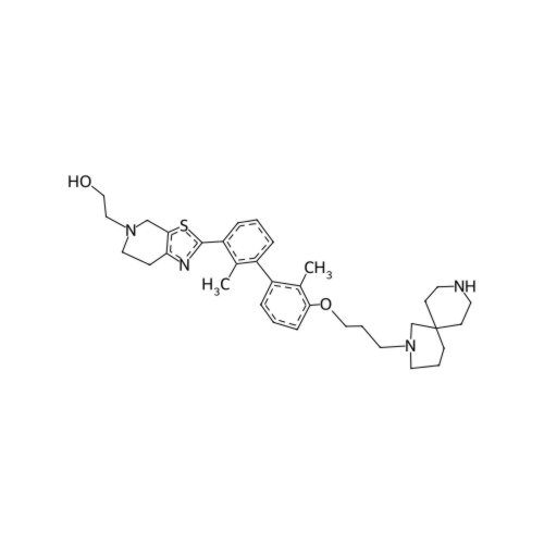 Cc1c(OCCCN2CCCC3(CCNCC3)C2)cccc1-c1cccc(-c2nc3c(s2)CN(CCO)CC3)c1C